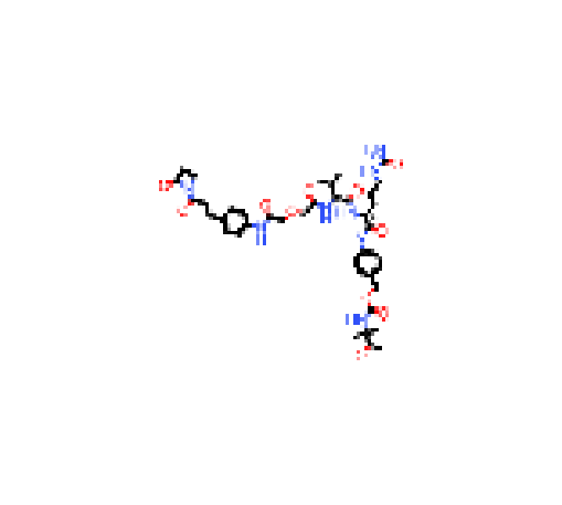 CC(=O)C(C)(C)NC(=O)OCc1ccc(NC(=O)[C@H](CCCNC(N)=O)NC(=O)[C@@H](NC(=O)COCC(=O)Nc2ccc(CCC(=O)N3CCC3=O)cc2)C(C)C)cc1